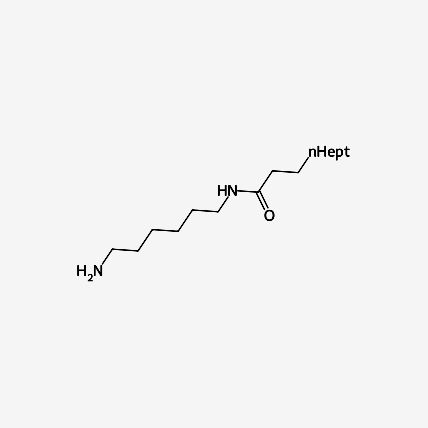 CCCCCCCCCC(=O)NCCCCCCN